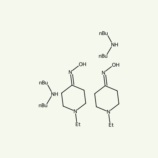 CCCCNCCCC.CCCCNCCCC.CCN1CCC(=NO)CC1.CCN1CCC(=NO)CC1